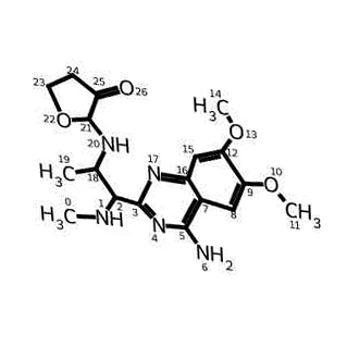 CNC(c1nc(N)c2cc(OC)c(OC)cc2n1)C(C)NC1OCCC1=O